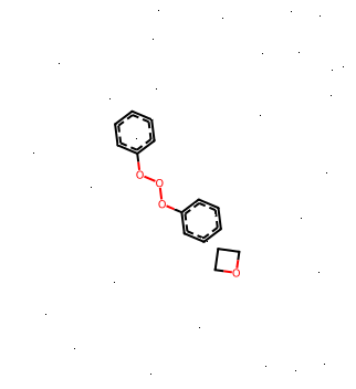 C1COC1.c1ccc(OOOc2ccccc2)cc1